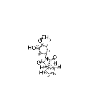 COc1ccc(N2C(=O)[C@@H]3[C@H](C2=O)[C@@H]2C=C[C@H]3CC2)cc1O